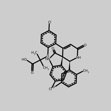 Cc1ccc(F)cc1[C@@H]1NC(=O)C=C(c2cc(Cl)ccc2OC(C)(C)C(=O)O)[C@@]12C(=O)Nc1cc(Cl)ccc12